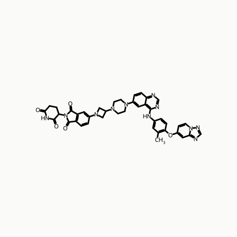 Cc1cc(Nc2ncnc3ccc(N4CCN(C5CN(c6ccc7c(c6)C(=O)N(C6CCC(=O)NC6=O)C7=O)C5)CC4)cc23)ccc1Oc1ccn2ncnc2c1